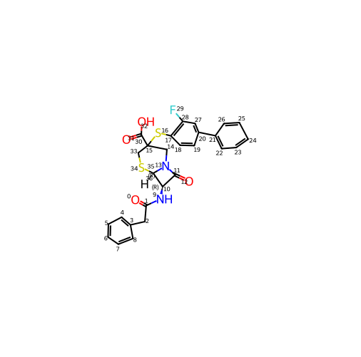 O=C(Cc1ccccc1)N[C@@H]1C(=O)N2CC(Sc3ccc(-c4ccccc4)cc3F)(C(=O)O)CS[C@H]12